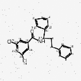 O=C(NC(CCc1ccccc1)c1ccccc1)c1cc(Cl)nc(Cl)c1